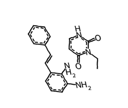 CCn1c(=O)cc[nH]c1=O.Nc1cccc(C=Cc2ccccc2)c1N